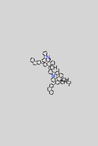 CC1(C)c2ccccc2C2(c3ccccc3-n3c4ccc(CC5(C)c6ccccc6C6(c7ccccc7-n7c8ccccc8c8cccc6c87)c6cc(-c7ccc8c(ccc9ccccc98)c7)ccc65)cc4c4cccc2c43)c2cc(-c3ccc4ccc5ccccc5c4c3)ccc21